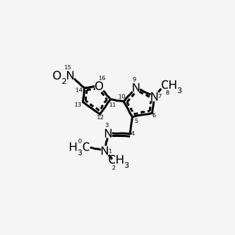 CN(C)N=Cc1cn(C)nc1-c1ccc([N+](=O)[O-])o1